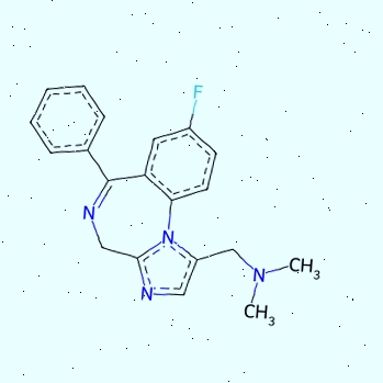 CN(C)Cc1cnc2n1-c1ccc(F)cc1C(c1ccccc1)=NC2